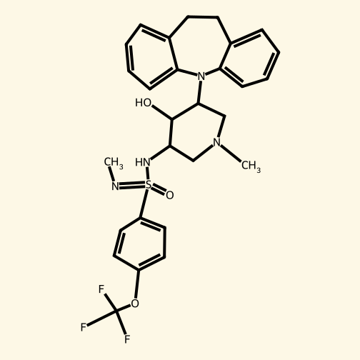 CN=S(=O)(NC1CN(C)CC(N2c3ccccc3CCc3ccccc32)C1O)c1ccc(OC(F)(F)F)cc1